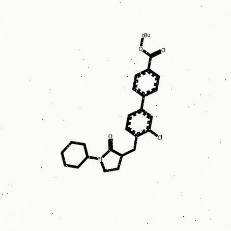 CC(C)(C)OC(=O)c1ccc(-c2ccc(CC3CCN(C4CCCCC4)C3=O)c(Cl)c2)cc1